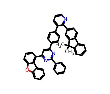 CC1(C)c2ccccc2-c2ccc(-c3ncccc3-c3ccc(-c4cc(-c5cccc6oc7ccccc7c56)nc(-c5ccccc5)n4)cc3)cc21